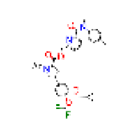 CC(=O)N1CC(c2ccc(OC(F)F)c(OCC3CC3)c2)C[C@@H]1C(=O)OCc1cccc(C(=O)N(C)c2ccc(C)cc2)n1